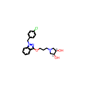 O[C@@H]1CN(CCCOc2nn(Cc3ccc(Cl)cc3)c3ccccc23)C[C@@H]1O